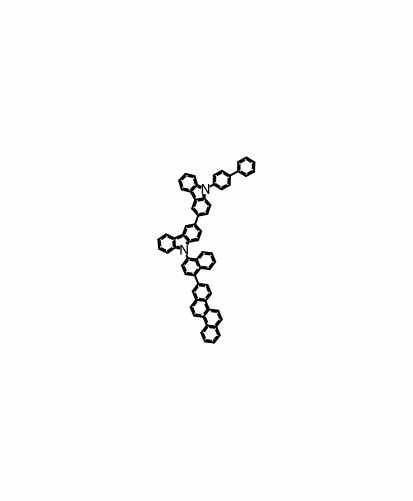 c1ccc(-c2ccc(-n3c4ccccc4c4cc(-c5ccc6c(c5)c5ccccc5n6-c5ccc(-c6ccc7c(ccc8c9ccccc9ccc78)c6)c6ccccc56)ccc43)cc2)cc1